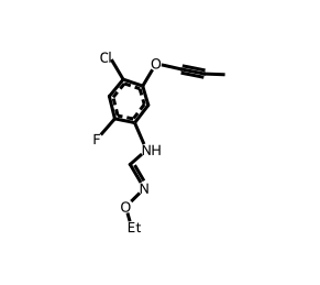 CC#COc1cc(NC=NOCC)c(F)cc1Cl